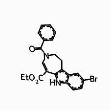 CCOC(=O)C1=CN(C(=O)c2ccccc2)CCc2c1[nH]c1ccc(Br)cc21